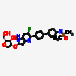 CS(C)(=O)=Nc1c#cc(-c2ccc(-c3nc4cc(O[C@@H]5CO[C@H](CO)[C@@H]5O)[nH]c4cc3F)cc2)cc1